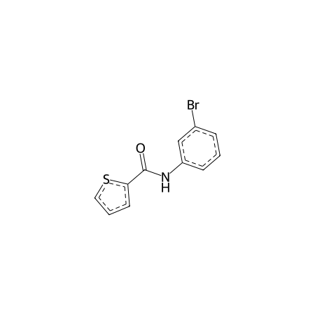 O=C(Nc1cccc(Br)c1)c1cccs1